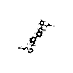 CC(C)(C)CCN1CCC[C@H]1c1nc2cc(-c3ccc4[nH]c([C@@H]5CCCN5CCC(C)(C)C)nc4c3)ccc2[nH]1